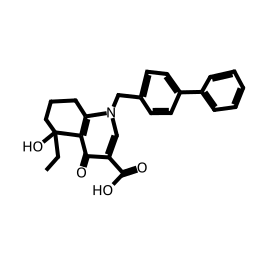 CCC1(O)CCCc2c1c(=O)c(C(=O)O)cn2Cc1ccc(-c2ccccc2)cc1